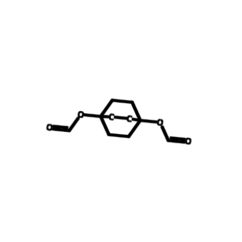 O=COC12CCC(OC=O)(CC1)CC2